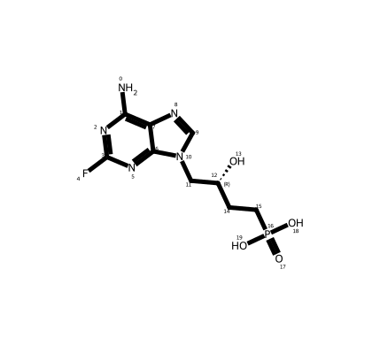 Nc1nc(F)nc2c1ncn2C[C@H](O)CCP(=O)(O)O